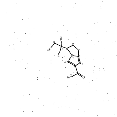 CCCC(=O)c1nc2n(n1)C(C(F)(F)CF)CC2